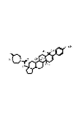 CC1(C)C(c2ccc(C(=O)O)cc2)=CCC2(C)C1CC[C@]1(C)C2CCC2C3CCCC3(NC(=O)N3CCNC(=O)CC3)CC[C@]21C